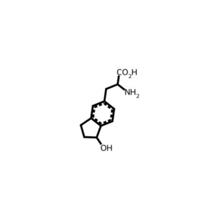 NC(Cc1ccc2c(c1)CCC2O)C(=O)O